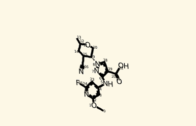 COc1cc(Nc2nn([C@H]3COC(C)CC3C#N)cc2C(=O)O)cc(F)n1